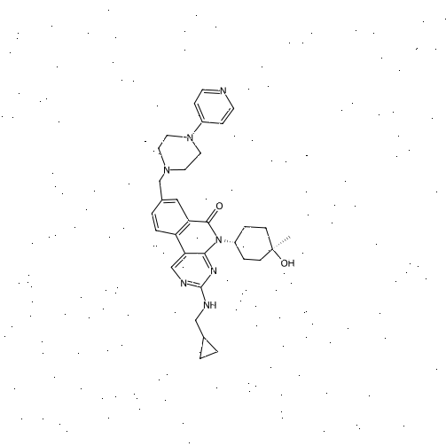 C[C@]1(O)CC[C@H](n2c(=O)c3cc(CN4CCN(c5ccncc5)CC4)ccc3c3cnc(NCC4CC4)nc32)CC1